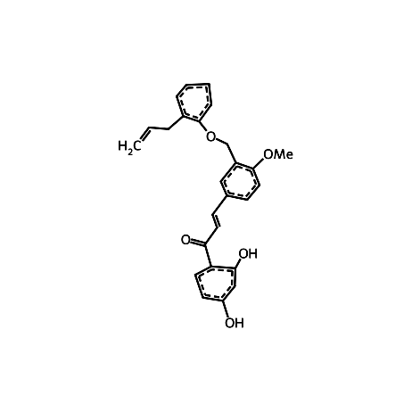 C=CCc1ccccc1OCc1cc(/C=C/C(=O)c2ccc(O)cc2O)ccc1OC